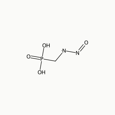 O=N[N]CP(=O)(O)O